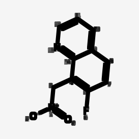 O=[N+]([O-])Cc1c(F)ccc2cccnc12